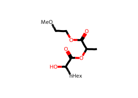 CCCCCCC(O)C(=O)OC(C)C(=O)OCCOC